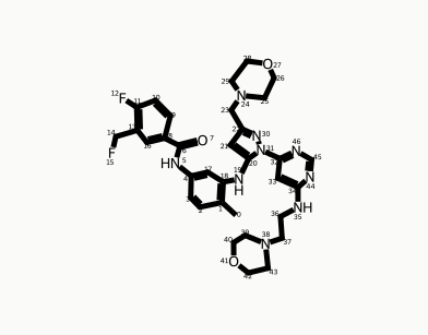 Cc1ccc(NC(=O)c2ccc(F)c(CF)c2)cc1Nc1cc(CN2CCOCC2)nn1-c1cc(NCCN2CCOCC2)ncn1